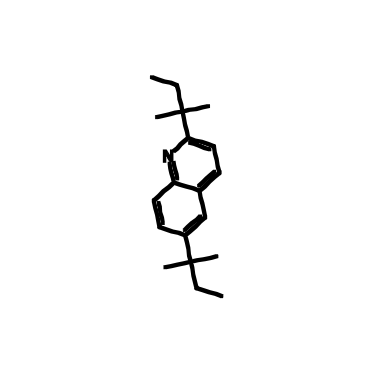 CCC(C)(C)c1ccc2nc(C(C)(C)CC)ccc2c1